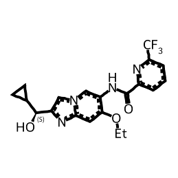 CCOc1cc2nc([C@@H](O)C3CC3)cn2cc1NC(=O)c1cccc(C(F)(F)F)n1